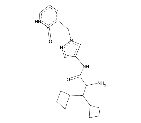 NC(C(=O)Nc1cnn(Cc2ccc[nH]c2=O)c1)C(C1CCC1)C1CCC1